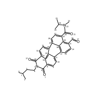 CC(C)CCN1C(=O)c2ccc3c4ccc(C=O)c5c(C(=O)N(C)C(C)C)ccc(c6ccc(c2c36)C1=O)c54